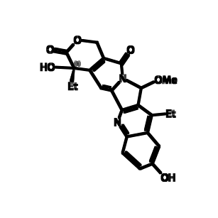 CCc1c2c(nc3ccc(O)cc13)-c1cc3c(c(=O)n1C2OC)COC(=O)[C@]3(O)CC